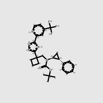 CC(C)(C)OC(=O)N(CC1(c2noc(-c3cc(C(F)(F)F)ccn3)n2)CCC1)[C@H]1C[C@@H]1c1ccccc1